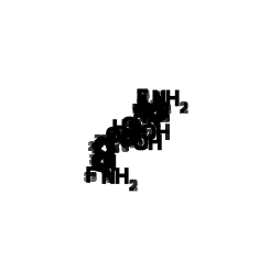 Nc1nc2cc(O[C@H]3CC[C@@]4(O)[C@@H]3O[C@@H](n3cc(F)c5c(N)ncnc53)[C@@H]4O)ccc2cc1F